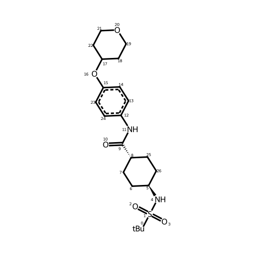 CC(C)(C)S(=O)(=O)N[C@H]1CC[C@H](C(=O)Nc2ccc(OC3CCOCC3)cc2)CC1